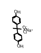 CC(C)(c1ccc(O)cc1)c1ccc(O)cc1.[Na+].[O-]Cl